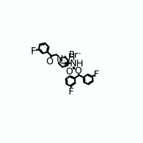 O=C(N[C@H]1C[N+]2(CC(=O)c3cccc(F)c3)CCC1CC2)OC(c1cccc(F)c1)c1cccc(F)c1.[Br-]